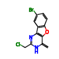 C=C1NC(CCl)=Nc2c1oc1ccc(Br)cc21